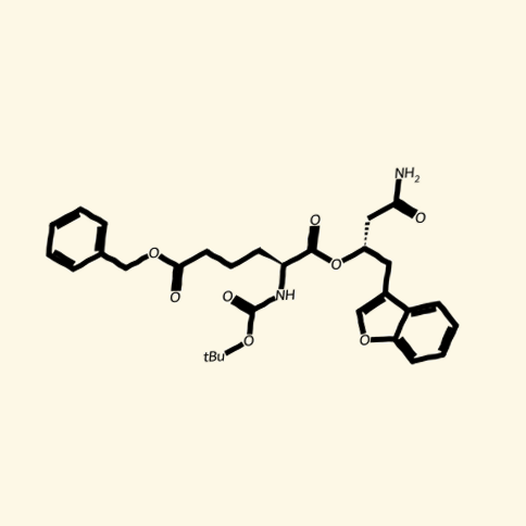 CC(C)(C)OC(=O)N[C@@H](CCCC(=O)OCc1ccccc1)C(=O)O[C@H](CC(N)=O)Cc1coc2ccccc12